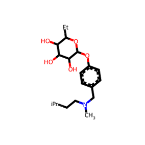 CCC1OC(Oc2ccc(CN(C)CCC(C)C)cc2)C(O)C(O)C1O